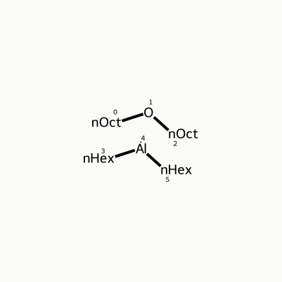 CCCCCCCCOCCCCCCCC.CCCCC[CH2][Al][CH2]CCCCC